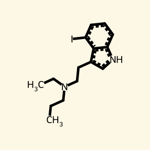 CCCN(CC)CCc1c[nH]c2cccc(I)c12